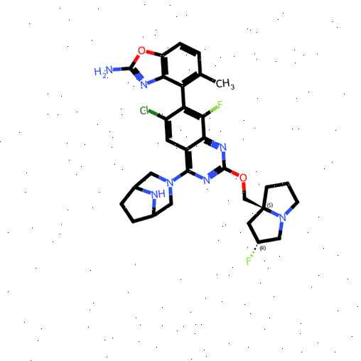 Cc1ccc2oc(N)nc2c1-c1c(Cl)cc2c(N3CC4CCC(C3)N4)nc(OC[C@@]34CCCN3C[C@H](F)C4)nc2c1F